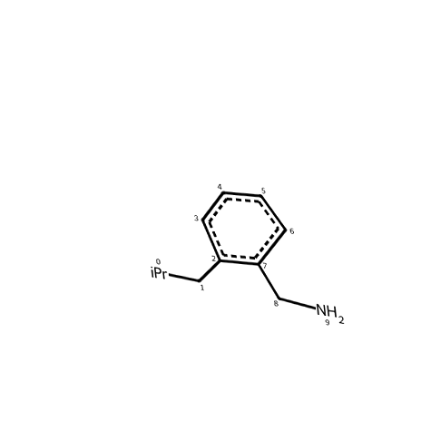 CC(C)Cc1ccccc1CN